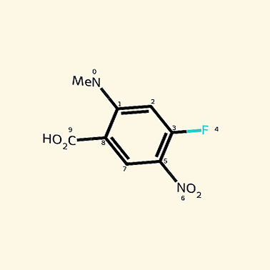 CNc1cc(F)c([N+](=O)[O-])cc1C(=O)O